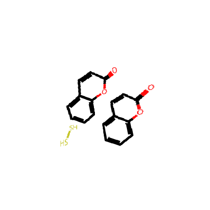 O=c1ccc2ccccc2o1.O=c1ccc2ccccc2o1.SS